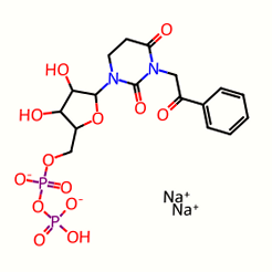 O=C(CN1C(=O)CCN(C2OC(COP(=O)([O-])OP(=O)([O-])O)C(O)C2O)C1=O)c1ccccc1.[Na+].[Na+]